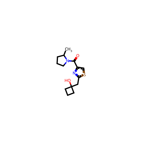 CC1CCCN1C(=O)c1csc(CC2(O)CCC2)n1